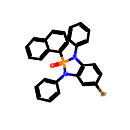 O=P1(c2cccc3ccccc23)N(c2ccccc2)c2ccc(Br)cc2N1c1ccccc1